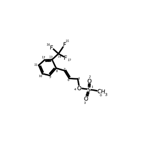 CS(=O)(=O)OC/C=C/c1ccccc1C(F)(F)F